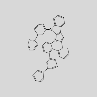 c1ccc(-c2cccc(-c3cccc4c3c3ccccc3c3cc5c6ccccc6n(-c6cccc(-c7ccccc7)c6)c5n34)c2)cc1